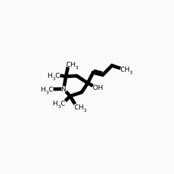 CC/C=C/C1(O)CC(C)(C)N(C)C(C)(C)C1